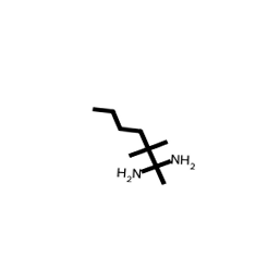 CCCCC(C)(C)C(C)(N)N